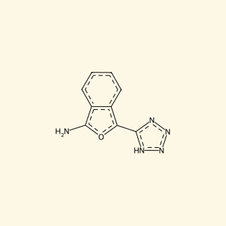 Nc1oc(-c2nnn[nH]2)c2ccccc12